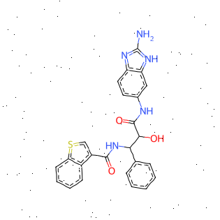 Nc1nc2ccc(NC(=O)C(O)C(NC(=O)c3csc4ccccc34)c3ccccc3)cc2[nH]1